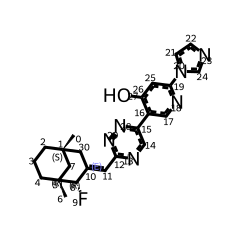 C[C@]12CCC[C@](C)(C1)[C@@H](F)/C(=C/c1ncc(-c3cnc(-n4ccnc4)cc3O)nn1)C2